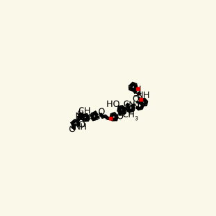 Cc1c(Oc2ccc(CCCC(=O)N3CCN(c4ccc5c(C6CCC(=O)NC6=O)nn(C)c5c4)CC3)cc2)cccc1-c1ccc(N2CCc3cccc(C(=O)Nc4nc5ccccc5s4)c3C2)nc1C(=O)O